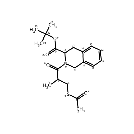 CC(=O)SCC(C)C(=O)N1Cc2ccccc2CC1C(=O)OC(C)(C)C